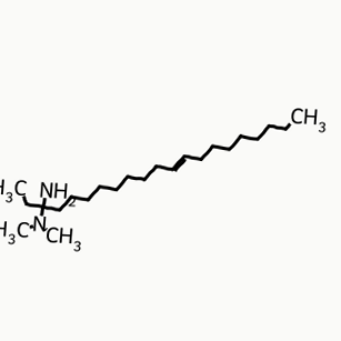 CCCCCCCCC=CCCCCCCCCC(N)(CC)N(C)C